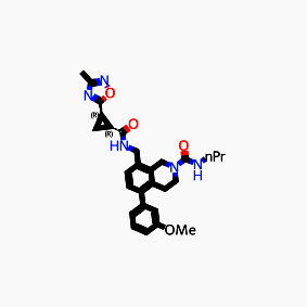 CCCNC(=O)N1CCc2c(-c3cccc(OC)c3)ccc(CNC(=O)[C@@H]3C[C@H]3c3nc(C)no3)c2C1